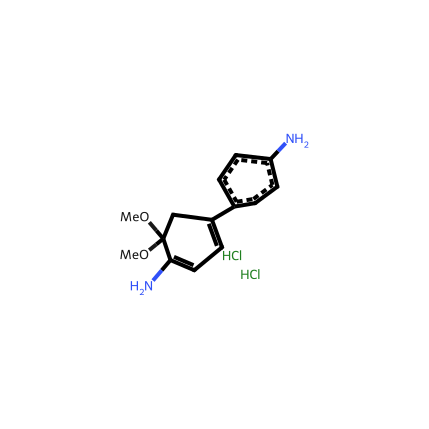 COC1(OC)CC(c2ccc(N)cc2)=CC=C1N.Cl.Cl